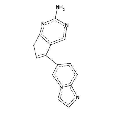 Nc1ncc2c(n1)CC=C2c1ccc2nccn2c1